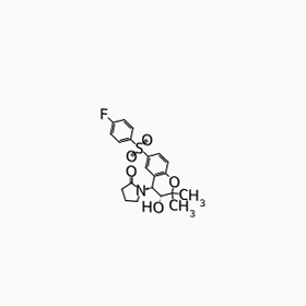 CC1(C)Oc2ccc(S(=O)(=O)c3ccc(F)cc3)cc2[C@H](N2CCCC2=O)[C@H]1O